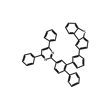 c1ccc(-c2cc(-c3ccccc3)nc(-c3ccc(-c4ccccc4)c(-c4cccc(-c5ccc6sc7ccccc7c6c5)c4)c3)n2)cc1